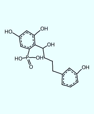 O=P(O)(O)c1cc(O)cc(O)c1C(O)CCCc1cccc(O)c1